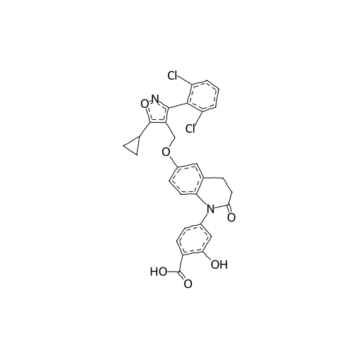 O=C(O)c1ccc(N2C(=O)CCc3cc(OCc4c(-c5c(Cl)cccc5Cl)noc4C4CC4)ccc32)cc1O